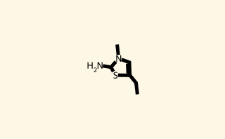 CCC1=CN(C)C(N)S1